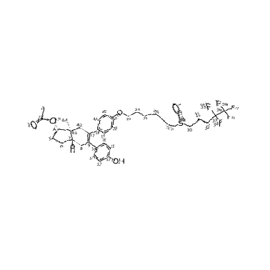 CC(=O)O[C@H]1CC[C@H]2CC(c3ccc(O)cc3)=C(c3ccc(OCCCCC[S+]([O-])CCCC(F)(F)C(F)(F)F)cc3)C[C@@]21C